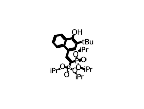 CC(C)OP(=O)(OC(C)C)C(=Cc1cc(C(C)(C)C)c(O)c2ccccc12)P(=O)(OC(C)C)OC(C)C